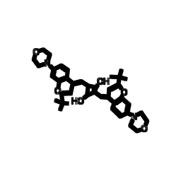 CC(C)(C)C1=C/C(=C\C2=C(O)C(/C=C3\C=C(C(C)(C)C)Oc4cc(N5CCOCC5)ccc43)C2O)c2ccc(N3CCOCC3)cc2O1